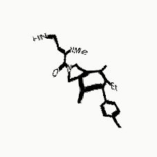 CCc1c(C)c2c(c(C)c1-c1ccc(C)cc1)CN(C(=O)/C(=C/C=N)NC)C2